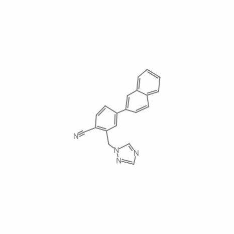 N#Cc1ccc(-c2ccc3ccccc3c2)cc1Cn1cncn1